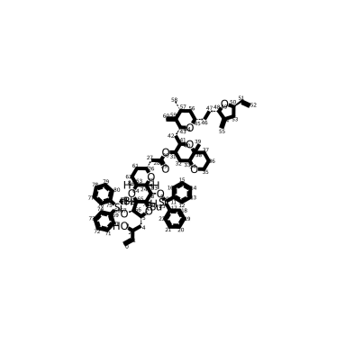 C=CC(O)C[C@H]1O[C@H]2[C@@H](O[Si](c3ccccc3)(c3ccccc3)C(C)(C)C)[C@H]3O[C@@H](CC(=O)OC4CC5OCCCC5(C)OC4C[C@H]4O[C@@H](CC[C@@H]5O[C@@H](C=C)CC5=C)C[C@@H](C)C4=C)CC[C@@H]3O[C@H]2[C@H]1O[Si](c1ccccc1)(c1ccccc1)C(C)(C)C